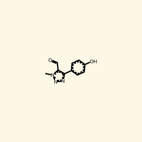 Cn1nnc(-c2ccc(O)cc2)c1C=O